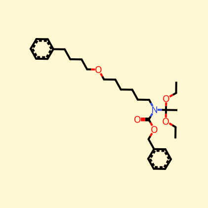 CCOC(C)(OCC)N(CCCCCCOCCCCc1ccccc1)C(=O)OCc1ccccc1